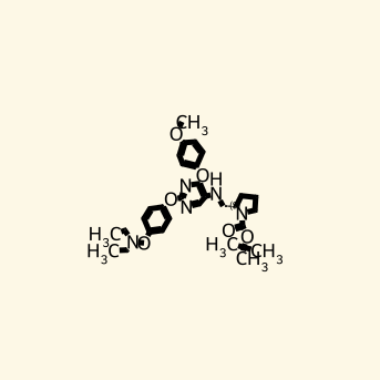 CCN(CC)Oc1ccc(Oc2ncc(NC[C@@H]3CCCN3C(=O)OC(C)(C)C)c(Oc3ccc(OC)cc3)n2)cc1